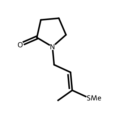 CSC(C)=CCN1CCCC1=O